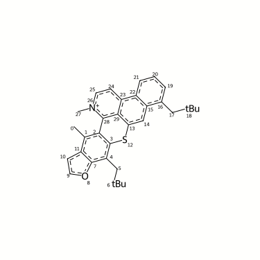 Cc1c2c(c(CC(C)(C)C)c3occc13)Sc1cc3c(CC(C)(C)C)cccc3c3cc[n+](C)c-2c13